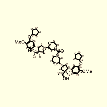 COc1ccc([C@@H]2CN(C3CN(C(=O)N4CCOC(N5C[C@@H](c6ccc(OC)c(OC7CCCC7)c6)[C@](C)([C@@H](C)O)C5)C4)CCO3)C[C@@]2(C)[C@@H](C)O)cc1OC1CCCC1